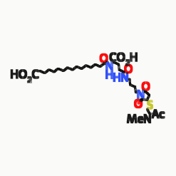 CNC(CSC1CC(=O)N(CCCCNC(=O)CCC(NC(=O)CCCCCCCCCCCCCCC(=O)O)C(=O)O)C1=O)C(C)=O